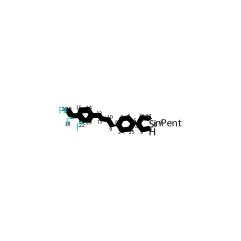 CCCCC[SiH]1CCC([C@H]2CC[C@H](CCCCc3ccc(/C(F)=C/F)c(F)c3)CC2)CC1